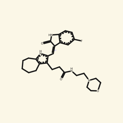 O=C(CCc1c(/C=C2\C(=O)Nc3ccc(F)cc32)[nH]c2c1CCCCC2)NCCN1CCOCC1